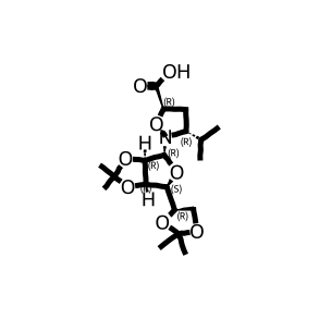 CC(C)[C@H]1C[C@H](C(=O)O)ON1[C@@H]1O[C@@H]([C@H]2COC(C)(C)O2)[C@H]2OC(C)(C)O[C@H]21